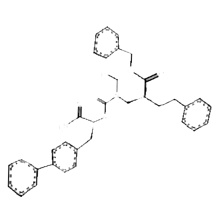 CC(C)CN(C[C@H](CCc1ccccc1)C(=O)OCc1ccccc1)C(=O)N[C@@H](Cc1ccc(-c2ccccc2)cc1)C(N)=O